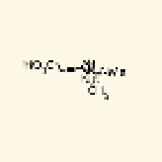 CNc1nc(C)nc2c(C#CCCC(=O)O)cnn12